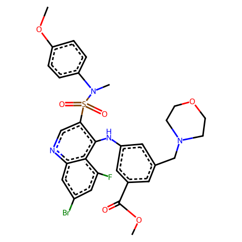 COC(=O)c1cc(CN2CCOCC2)cc(Nc2c(S(=O)(=O)N(C)c3ccc(OC)cc3)cnc3cc(Br)cc(F)c23)c1